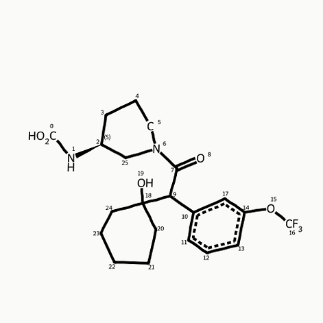 O=C(O)N[C@H]1CCCN(C(=O)C(c2cccc(OC(F)(F)F)c2)C2(O)CCCCC2)C1